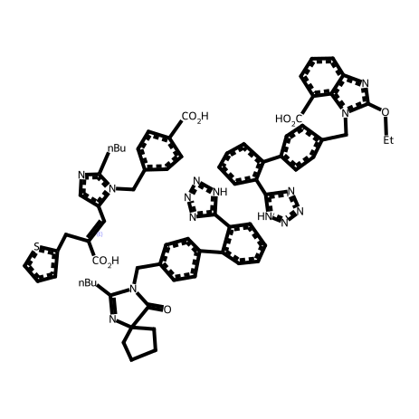 CCCCC1=NC2(CCCC2)C(=O)N1Cc1ccc(-c2ccccc2-c2nnn[nH]2)cc1.CCCCc1ncc(/C=C(\Cc2cccs2)C(=O)O)n1Cc1ccc(C(=O)O)cc1.CCOc1nc2cccc(C(=O)O)c2n1Cc1ccc(-c2ccccc2-c2nnn[nH]2)cc1